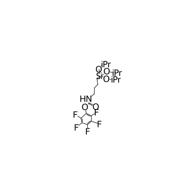 CC(C)O[Si](CCCCNC(=O)Oc1c(F)c(F)c(F)c(F)c1F)(OC(C)C)OC(C)C